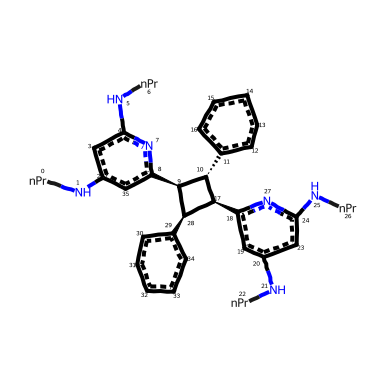 CCCNc1cc(NCCC)nc([C@H]2[C@H](c3ccccc3)[C@@H](c3cc(NCCC)cc(NCCC)n3)[C@H]2c2ccccc2)c1